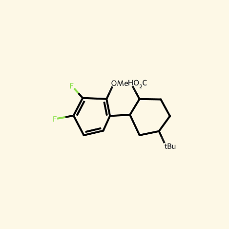 COc1c(C2CC(C(C)(C)C)CCC2C(=O)O)ccc(F)c1F